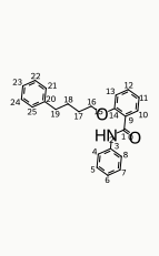 O=C(Nc1ccccc1)c1ccccc1OCCCCc1ccccc1